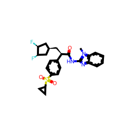 Cn1c(NC(=O)[C@H](C[C@H]2C[C@@H](F)[C@@H](F)C2)c2ccc(S(=O)(=O)C3CC3)cc2)nc2ccccc21